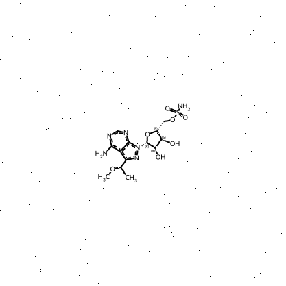 COC(C)c1nn([C@@H]2O[C@H](COS(N)(=O)=O)[C@@H](O)[C@H]2O)c2ncnc(N)c12